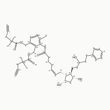 C#CCC(C)(C)C(=O)OCc1cnc(C)c(OC(=O)CCC/C=C\C[C@@H]2[C@@H](CCC(O)CCc3ccccc3)[C@H](O)C[C@@H]2O)c1COC(=O)C(C)(C)CC#C